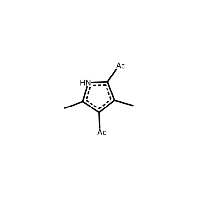 CC(=O)c1[nH]c(C)c(C(C)=O)c1C